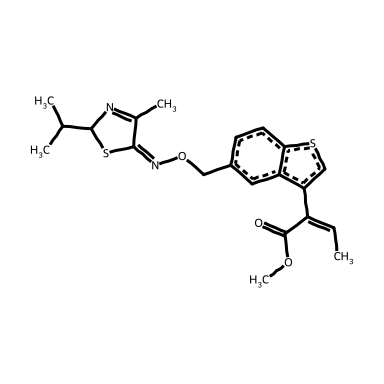 CC=C(C(=O)OC)c1csc2ccc(CON=C3SC(C(C)C)N=C3C)cc12